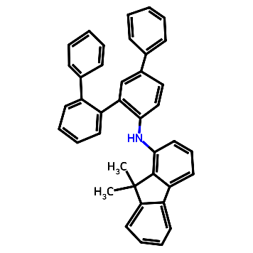 CC1(C)c2ccccc2-c2cccc(Nc3ccc(-c4ccccc4)cc3-c3ccccc3-c3ccccc3)c21